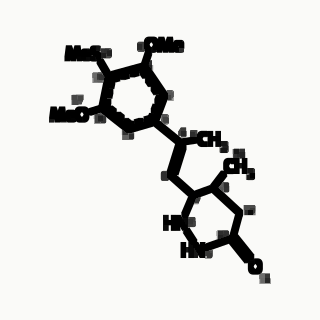 COc1cc(/C(C)=C/C2NNC(=O)CC2C)cc(OC)c1SC